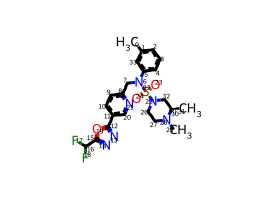 Cc1cccc(N(Cc2ccc(-c3nnc(C(F)F)o3)cn2)S(=O)(=O)N2CCN(C)[C@H](C)C2)c1